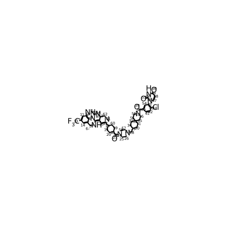 Cc1nc(N[C@H](C)c2cc(N)cc(C(F)(F)F)c2)c2cc(C3CCC(C(=O)N4CCN(CC5CCC6(CC5)CCN(C(=O)c5ccc(Cl)c(-n7ccc(=O)[nH]c7=O)c5)CC6)CC4)CC3)ncc2n1